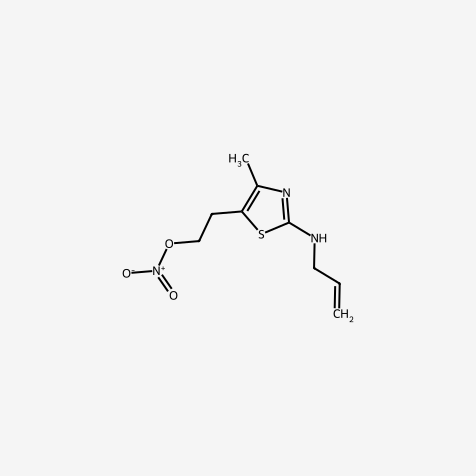 C=CCNc1nc(C)c(CCO[N+](=O)[O-])s1